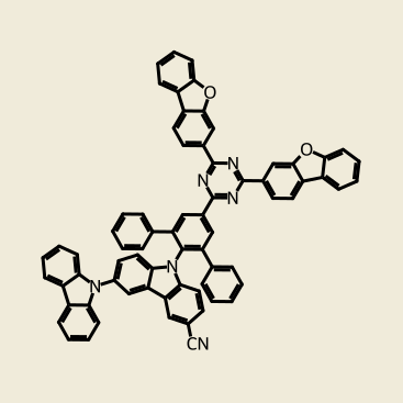 N#Cc1ccc2c(c1)c1cc(-n3c4ccccc4c4ccccc43)ccc1n2-c1c(-c2ccccc2)cc(-c2nc(-c3ccc4c(c3)oc3ccccc34)nc(-c3ccc4c(c3)oc3ccccc34)n2)cc1-c1ccccc1